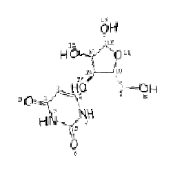 O=c1cc[nH]c(=O)[nH]1.OC[C@H]1O[C@@H](O)[C@H](O)[C@@H]1O